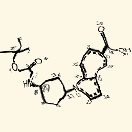 CC(C)(C)OC(=O)N[C@@H]1CCC(n2ccc3cc(C(=O)O)ccc32)C1